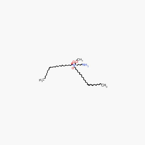 CCCCCCCC/C=C\CCCCCCCCCCCCCC(=O)N(C(=O)CCCCCCCCCCCCC/C=C\CCCCCCCC)[C@@H](CCCCN)C(=O)OCC